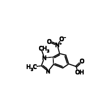 Cc1nc2cc(C(=O)O)cc([N+](=O)[O-])c2n1C